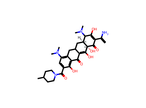 C=C(N)C1=C(O)C(N(C)C)[C@@H]2CC3Cc4c(N(C)C)cc(C(=O)N5CCC(C)CC5)c(O)c4C(=O)C3=C(O)[C@]2(O)C1=O